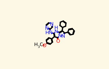 COc1ccc(-c2c(Nc3cnccn3)[nH]c3c(C4CC=CCC4)c(-c4ccccc4)nn3c2=O)cc1